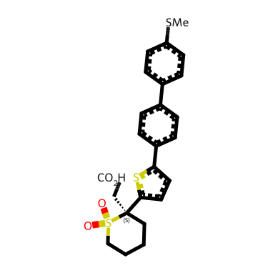 CSc1ccc(-c2ccc(-c3ccc([C@@]4(CC(=O)O)CCCCS4(=O)=O)s3)cc2)cc1